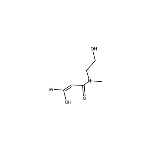 CC(C)/C(O)=C/C(=O)N(C)CCO